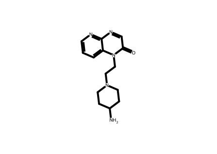 NC1CCN(CCn2c(=O)cnc3ncccc32)CC1